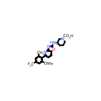 COc1cc(C(F)(F)F)cc(C)c1-c1ccc2oc(N[C@@H]3CCCN(C(=O)O)C3)nc2n1